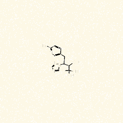 CC(C)(C)C(O)C(Cc1ccc(Br)nc1)n1cncn1